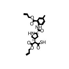 C=CCOC(=O)c1cc(C)ccc1NC(=O)[C@@H]1C[C@@H](C(C(=O)S)C(=O)OCC=C)CN1